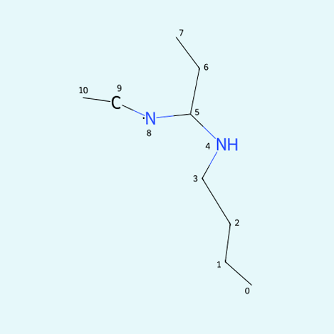 CCCCNC(CC)[N]CC